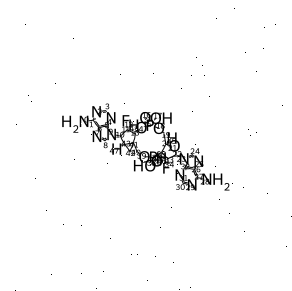 Nc1ncnc2c1ncn2[C@H]1[C@H](F)[C@@H]2OP(=O)(O)OC[C@H]3O[C@@H](n4cnc5c(N)ncnc54)[C@H](F)[C@@H]3P(=O)(O)OCC23C[C@H]13